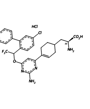 Cl.Nc1nc(OC(c2ccc(Cl)cc2-c2ccccc2)C(F)(F)F)cc(C2=CCC(C[C@H](N)C(=O)O)CC2)n1